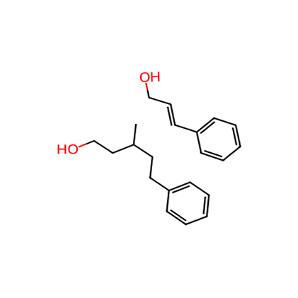 CC(CCO)CCc1ccccc1.OCC=Cc1ccccc1